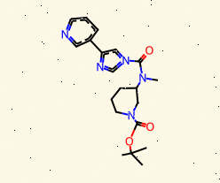 CN(C(=O)n1cnc(-c2cccnc2)c1)C1CCCN(C(=O)OC(C)(C)C)C1